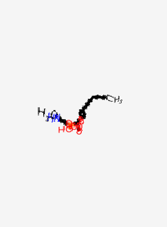 CCCCCCCCCCCCc1ccc(OCC(COP(O)OCCCCNCC)OC=O)cc1